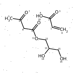 C=CC(=O)O.CC(=O)CC(=O)OCC(O)CO